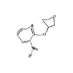 CC(C)Nc1cccnc1OC1COC1